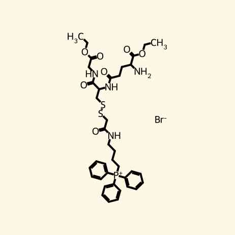 CCOC(=O)CNC(=O)C(CSSCC(=O)NCCCC[P+](c1ccccc1)(c1ccccc1)c1ccccc1)NC(=O)CCC(N)C(=O)OCC.[Br-]